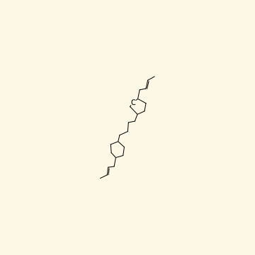 CC=CCC1CCC(CCCCC2CCC(CC=CC)CC2)CC1